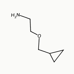 NCCOCC1CC1